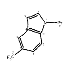 CC(C)n1ccc2cc(C(F)(F)F)ccc21